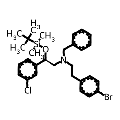 CC(C)(C)[Si](C)(C)O[C@@H](CN(CCc1ccc(Br)cc1)Cc1ccccc1)c1cccc(Cl)c1